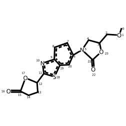 COCC1CN(c2ccc3nc(C4CCC(=O)O4)sc3c2)C(=O)O1